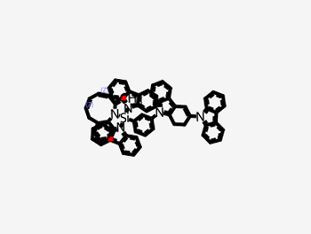 C=C1/C=C\C=C/Cc2ccccc2N1[Si](c1cccc(-n2c3c(c4ccccc42)C=C(n2c4ccccc4c4ccccc42)CC3)c1)(n1c2ccccc2c2ccccc21)n1c2ccccc2c2ccccc21